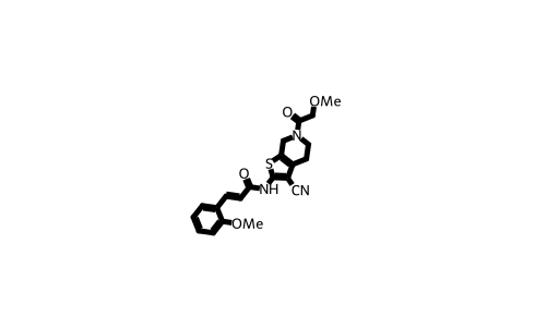 COCC(=O)N1CCc2c(sc(NC(=O)C=Cc3ccccc3OC)c2C#N)C1